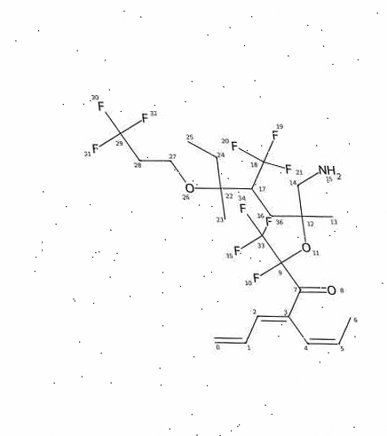 C=C/C=C(\C=C/C)C(=O)C(F)(OC(C)(CN)CC(C(F)(F)F)C(C)(CC)OCCC(F)(F)F)C(F)(F)F